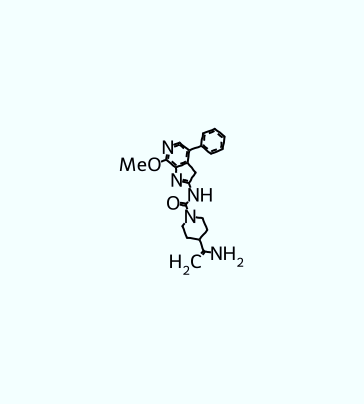 C=C(N)C1CCN(C(=O)NC2=Nc3c(OC)ncc(-c4ccccc4)c3C2)CC1